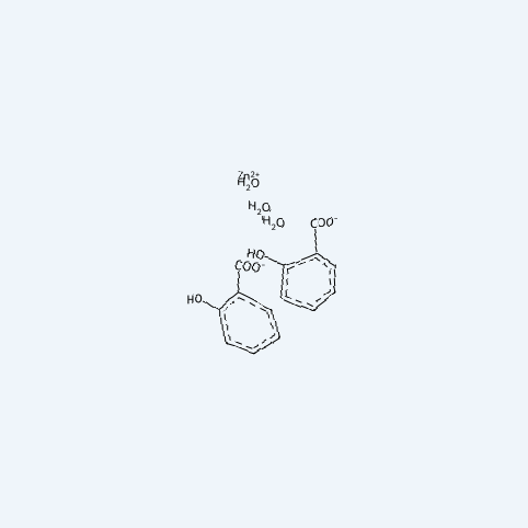 O.O.O.O=C([O-])c1ccccc1O.O=C([O-])c1ccccc1O.[Zn+2]